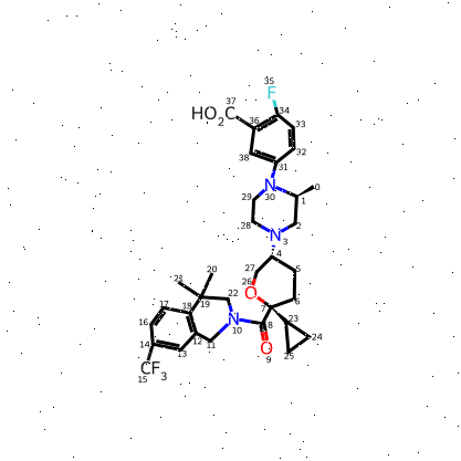 C[C@H]1CN([C@@H]2CC[C@@](C(=O)N3Cc4cc(C(F)(F)F)ccc4C(C)(C)C3)(C3CC3)OC2)CCN1c1ccc(F)c(C(=O)O)c1